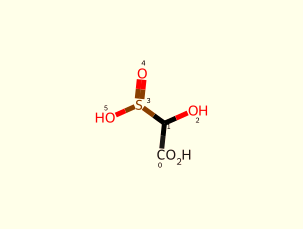 O=C(O)C(O)S(=O)O